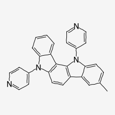 Cc1ccc2c(c1)c1ccc3c(c4ccccc4n3-c3ccncc3)c1n2-c1ccncc1